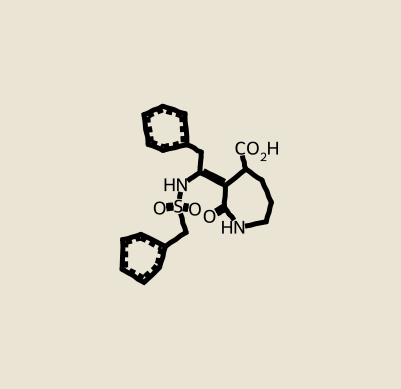 O=C1NCCCC(C(=O)O)C1=C(Cc1ccccc1)NS(=O)(=O)Cc1ccccc1